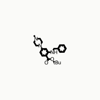 CN1CCN(c2ccc(C(=O)OC(C)(C)C)c(NCc3ccccc3)c2)CC1